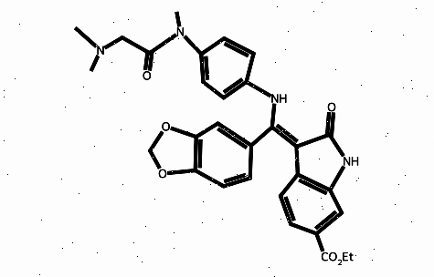 CCOC(=O)c1ccc2c(c1)NC(=O)/C2=C(\Nc1ccc(N(C)C(=O)CN(C)C)cc1)c1ccc2c(c1)OCO2